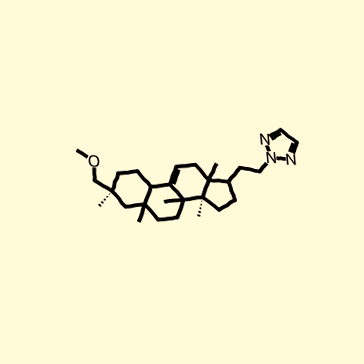 COC[C@@]1(C)CCC2C3=CCC4(C)C(CCn5nccn5)CC[C@@]4(C)C3(C)CCC2(C)C1